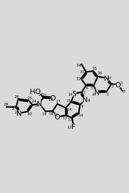 COc1cnc2c(-c3nc4cc(F)c5c(c4s3)CC(CN(C(=O)O)c3ccc(C)nc3)O5)cc(C)cc2n1